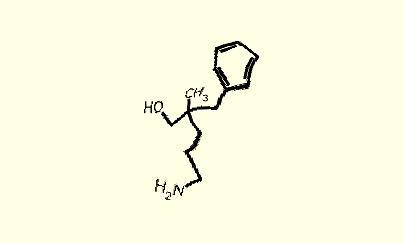 CC(CO)(CCCN)Cc1ccccc1